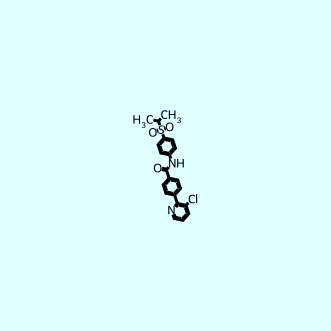 CC(C)S(=O)(=O)c1ccc(NC(=O)c2ccc(-c3ncccc3Cl)cc2)cc1